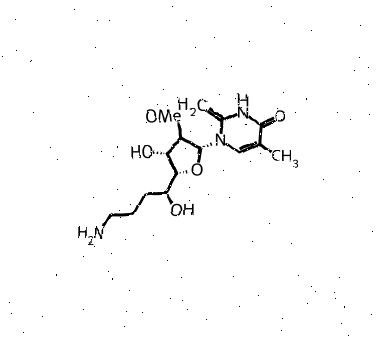 C=C1NC(=O)C(C)=CN1[C@@H]1O[C@H]([C@@H](O)CCCN)[C@H](O)C1OC